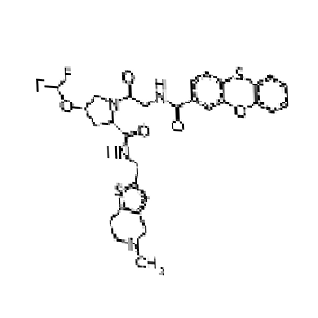 CN1CCc2sc(CNC(=O)[C@@H]3C[C@@H](OC(F)F)CN3C(=O)CNC(=O)c3ccc4c(c3)Oc3ccccc3S4)cc2C1